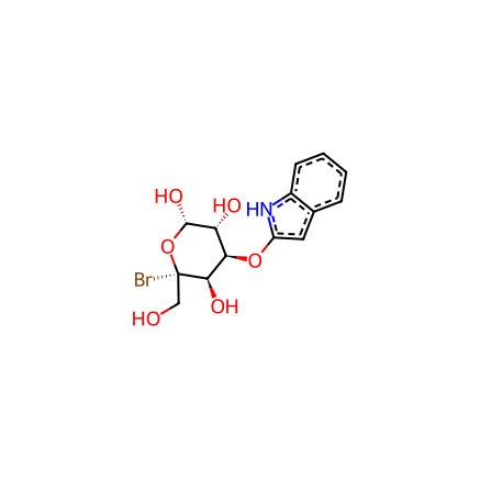 OC[C@@]1(Br)O[C@H](O)[C@H](O)[C@@H](Oc2cc3ccccc3[nH]2)[C@H]1O